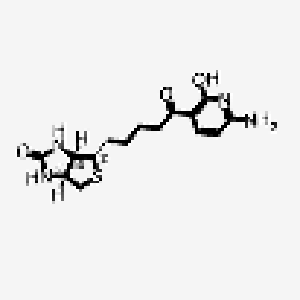 Nc1ccc(C(=O)CCCC[C@@H]2SC[C@@H]3NC(=O)N[C@@H]32)c(O)n1